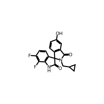 O=C1c2cc(O)ccc2C2(C(=O)Nc3c2ccc(F)c3F)N1CC1CC1